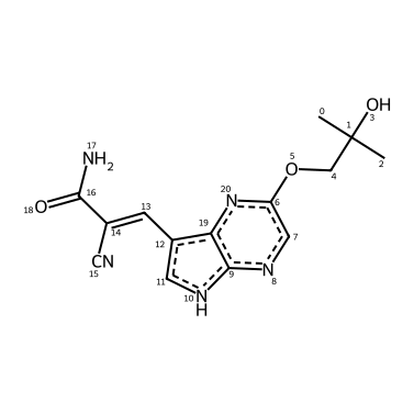 CC(C)(O)COc1cnc2[nH]cc(/C=C(\C#N)C(N)=O)c2n1